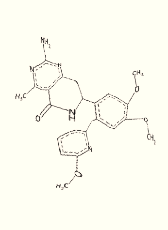 COc1cccc(-c2cc(OC)c(OC)cc2C2Cc3nc(N)nc(C)c3C(=O)N2)n1